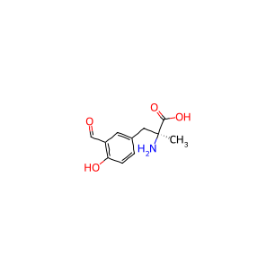 C[C@](N)(Cc1ccc(O)c(C=O)c1)C(=O)O